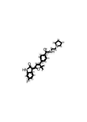 CC1(C)O/C(=C2/C(=O)Nc3cc(F)ccc32)C=C1c1ccc(C(=O)NCCN2CCCC2)cc1